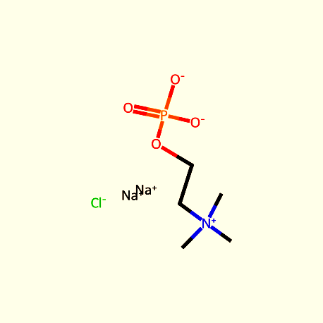 C[N+](C)(C)CCOP(=O)([O-])[O-].[Cl-].[Na+].[Na+]